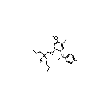 CCCCC(C=O)(CCCC)CSc1cc(OC)c(C)cc1N(C)c1ccc(F)cc1